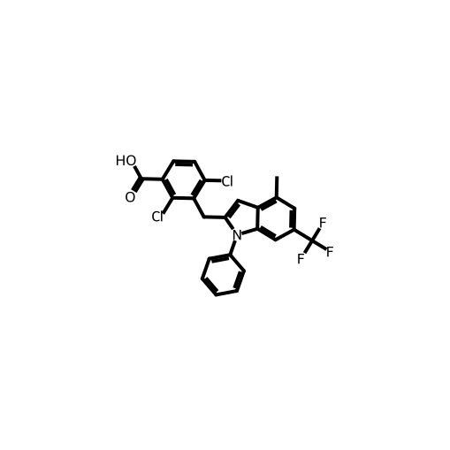 Cc1cc(C(F)(F)F)cc2c1cc(Cc1c(Cl)ccc(C(=O)O)c1Cl)n2-c1ccccc1